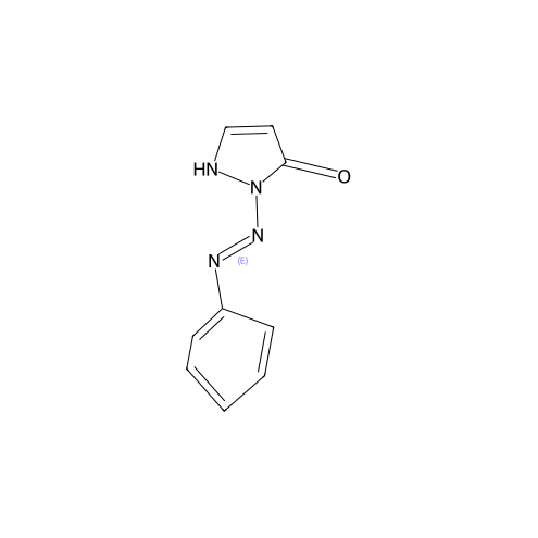 O=c1cc[nH]n1/N=N/c1ccccc1